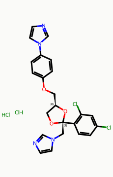 Cl.Cl.Clc1ccc([C@]2(Cn3ccnc3)OC[C@@H](COc3ccc(-n4ccnc4)cc3)O2)c(Cl)c1